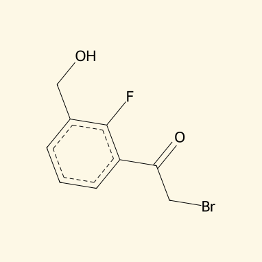 O=C(CBr)c1cccc(CO)c1F